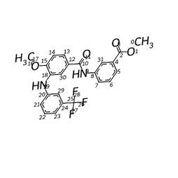 COC(=O)c1cccc(NC(=O)c2ccc(OC)c(Nc3cccc(C(F)(F)F)c3)c2)c1